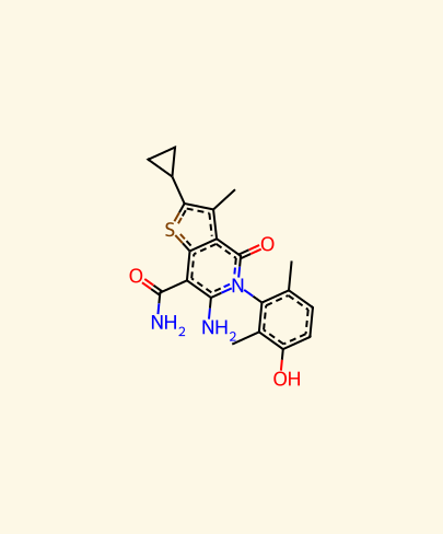 Cc1ccc(O)c(C)c1-n1c(N)c(C(N)=O)c2sc(C3CC3)c(C)c2c1=O